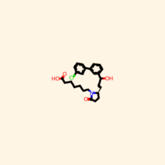 O=C(O)CCCCCCN1C(=O)CC[C@@H]1/C=C/C(O)c1cccc(-c2cccc(Cl)c2)c1